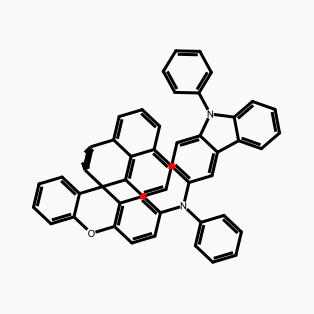 c1ccc(N(c2ccc3c(c2)C2(c4ccccc4O3)c3ccccc3-c3cccc4cccc2c34)c2ccc3c(c2)c2ccccc2n3-c2ccccc2)cc1